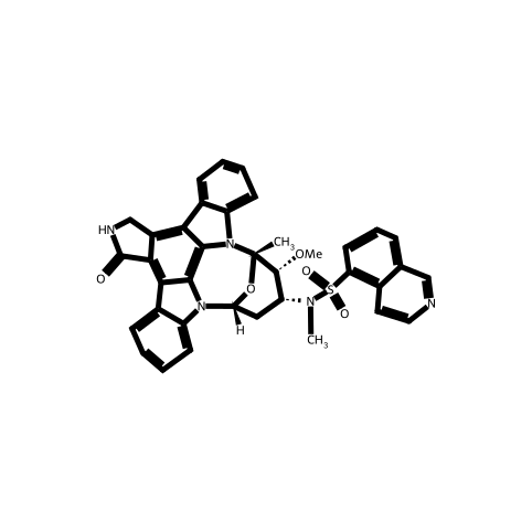 CO[C@@H]1[C@H](N(C)S(=O)(=O)c2cccc3cnccc23)C[C@H]2O[C@]1(C)n1c3ccccc3c3c4c(c5c6ccccc6n2c5c31)C(=O)NC4